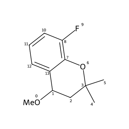 COC1CC(C)(C)Oc2c(F)cccc21